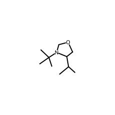 CC(C)C1COCN1C(C)(C)C